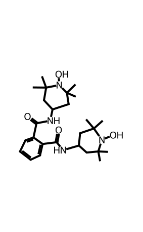 CC1(C)CC(NC(=O)c2ccccc2C(=O)NC2CC(C)(C)N(O)C(C)(C)C2)CC(C)(C)N1O